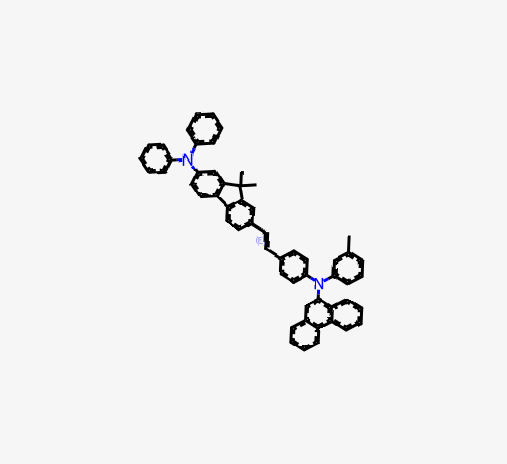 Cc1cccc(N(c2ccc(/C=C/c3ccc4c(c3)C(C)(C)c3cc(N(c5ccccc5)c5ccccc5)ccc3-4)cc2)c2cc3ccccc3c3ccccc23)c1